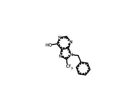 Oc1ncnc2c1nc(C(F)(F)F)n2Cc1ccccc1